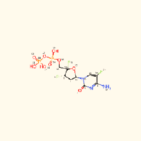 Nc1nc(=O)n([C@H]2C[C@H](F)[C@@](F)(COP(=O)(O)OP(=O)(O)O)O2)cc1F